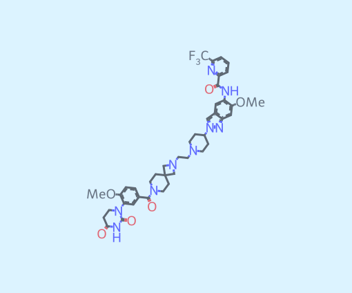 COc1cc2nn(C3CCN(CCN4CC5(CCN(C(=O)c6ccc(OC)c(N7CCC(=O)NC7=O)c6)CC5)C4)CC3)cc2cc1NC(=O)c1cccc(C(F)(F)F)n1